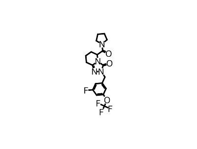 O=C(C1CCCc2nn(Cc3cc(F)cc(OC(F)(F)F)c3)c(=O)n21)N1CCCC1